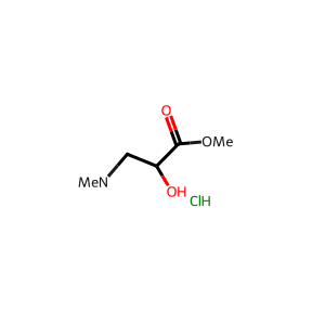 CNCC(O)C(=O)OC.Cl